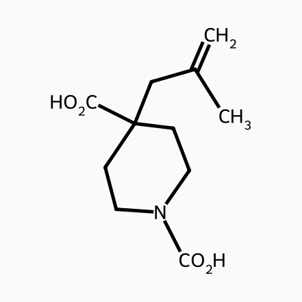 C=C(C)CC1(C(=O)O)CCN(C(=O)O)CC1